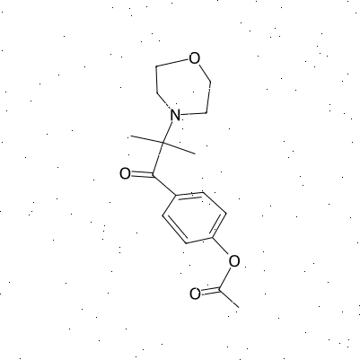 CC(=O)Oc1ccc(C(=O)C(C)(C)N2CCOCC2)cc1